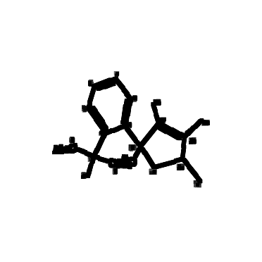 COC(C)(OC)c1ccccc1C1(O)CC(C)C(C)=C1C